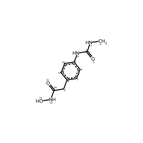 CNC(=O)Nc1ccc(CC(=O)NO)cc1